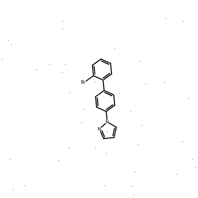 Brc1ccccc1-c1ccc(-n2cccn2)cc1